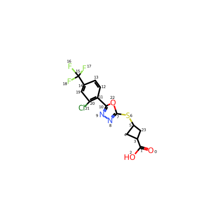 O=C(O)C1CC(Sc2nnc(-c3ccc(C(F)(F)F)cc3Cl)o2)C1